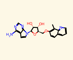 Cc1c(OC[C@H]2O[C@@H](n3ccc4c(N)ncnc43)[C@H](O)[C@@H]2O)ccc2cccnc12